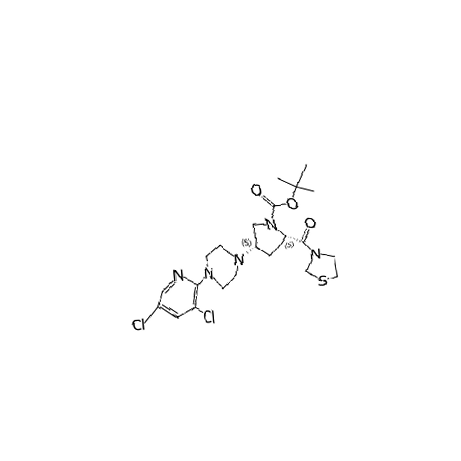 CC(C)(C)OC(=O)N1C[C@@H](N2CCN(c3ncc(Cl)cc3Cl)CC2)C[C@H]1C(=O)N1CCSC1